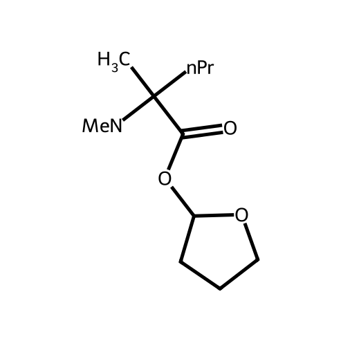 CCCC(C)(NC)C(=O)OC1CCCO1